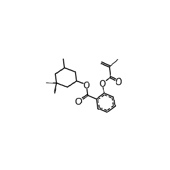 C=C(C)C(=O)Oc1ccccc1C(=O)OC1CC(C)CC(C)(C)C1